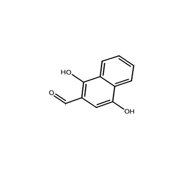 O=[C]c1cc(O)c2ccccc2c1O